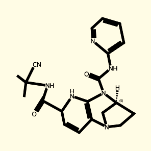 CC(C)(C#N)NC(=O)C1C=CC2=C(N1)N(C(=O)Nc1ccccn1)[C@H]1CCN2C1